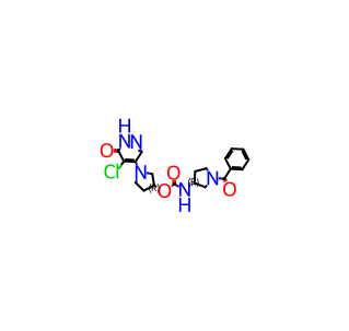 O=C(N[C@@H]1CCN(C(=O)c2ccccc2)C1)O[C@@H]1CCN(c2cn[nH]c(=O)c2Cl)C1